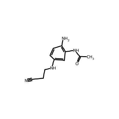 CC(=O)Nc1cc(NCCC#N)ccc1N